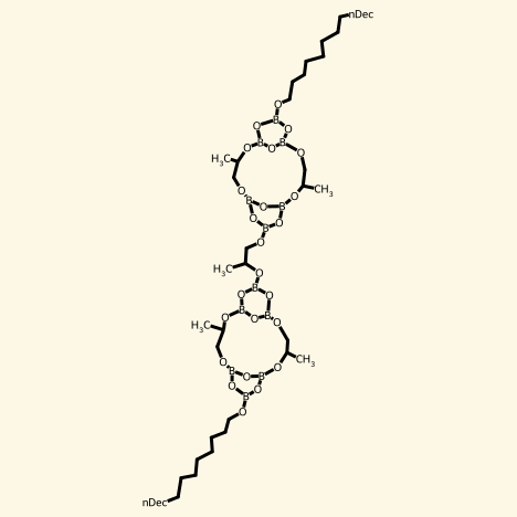 CCCCCCCCCCCCCCCCCCOB1OB2OCC(C)OB3OB(OCC(C)OB(O1)O2)OB(OCC(C)OB1OB2OCC(C)OB4OB(OCCCCCCCCCCCCCCCCCC)OB(OCC(C)OB(O2)O1)O4)O3